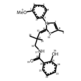 COc1cccc(N2C=C(C)SC2=CC(C)(C)CNC(=O)c2ccccc2O)c1